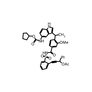 COc1cc(C(=O)NS(=O)(=O)c2ccccc2C#CC(OC(C)=O)C(C)C)ccc1C(C)c1c[nH]c2ccc(NC(=O)OC3CCCC3)cc12